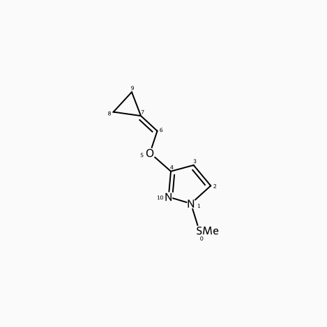 CSn1ccc(OC=C2CC2)n1